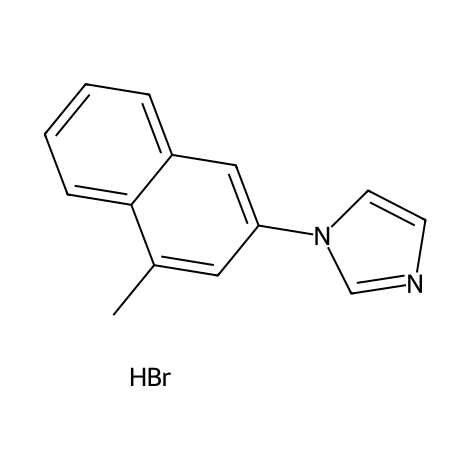 Br.Cc1cc(-n2ccnc2)cc2ccccc12